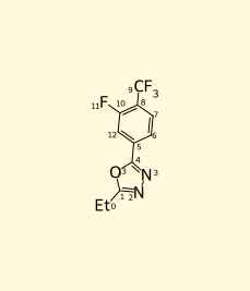 CCc1nnc(-c2ccc(C(F)(F)F)c(F)c2)o1